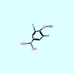 CCCCOc1c(F)cc(B(O)O)cc1F